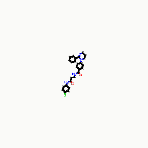 O=C(CCNC(=O)c1ccc(N2CCCN=C2c2ccccc2)cc1)Nc1ccc(Cl)cc1